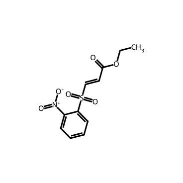 CCOC(=O)C=CS(=O)(=O)c1ccccc1[N+](=O)[O-]